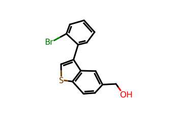 OCc1ccc2scc(-c3ccccc3Br)c2c1